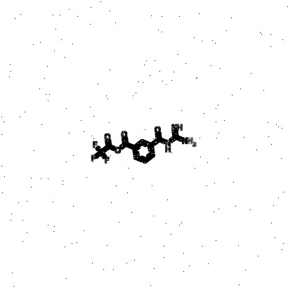 N=C(N)NC(=O)c1cccc(C(=O)OC(=O)C(F)(F)F)c1